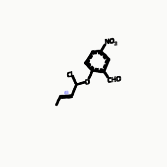 C/C=C/C(Cl)Oc1ccc([N+](=O)[O-])cc1C=O